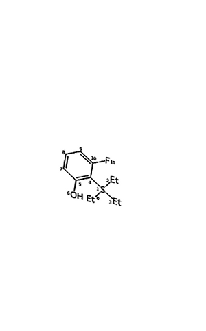 CCS(CC)(CC)c1c(O)cccc1F